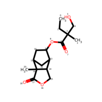 CCC(C)(CO)C(=O)OC1CC2CC1C1COC(=O)C21C